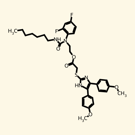 CCCCCCCNC(=O)N(CCOC(=O)CSc1nc(-c2ccc(OC)cc2)c(-c2ccc(OC)cc2)[nH]1)c1ccc(F)cc1F